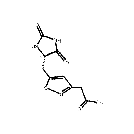 O=C(O)Cc1cc(C[C@@H]2NC(=O)NC2=O)on1